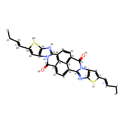 CC/C=C/c1cc2c(nc3c4ccc5c(=O)n6c7cc(/C=C/CC)sc7nc6c6ccc(c(=O)n23)c4c56)s1